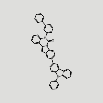 O=c1n(-c2cccc(-c3ccccc3)c2)c2ccccc2c2cc3cc(-c4ccc5c(c4)c4ccccc4n5-c4ccccc4)ccc3n12